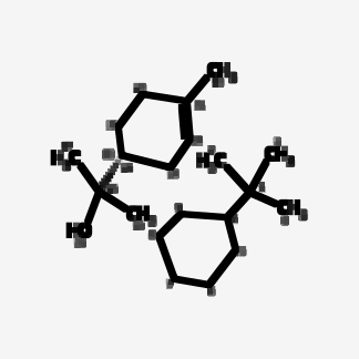 CC(C)(C)C1[CH]CCCC1.CC1=CC[C@H](C(C)(C)O)CC1